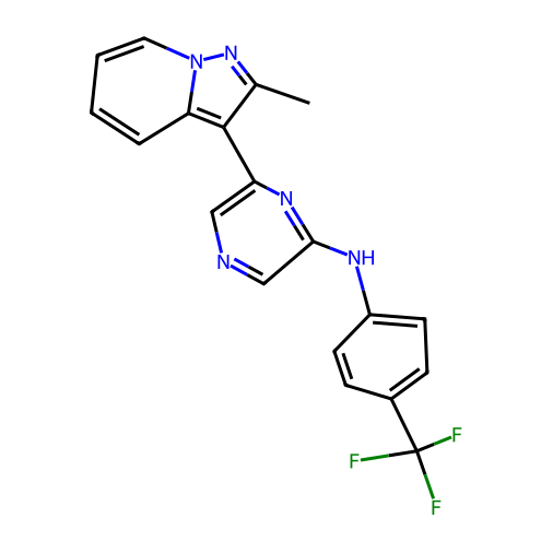 Cc1nn2ccccc2c1-c1cncc(Nc2ccc(C(F)(F)F)cc2)n1